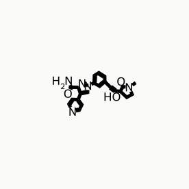 CN1CC[C@@](O)(C#Cc2cccc(-n3cc(-c4ccncc4)c(C(N)=O)n3)c2)C1=O